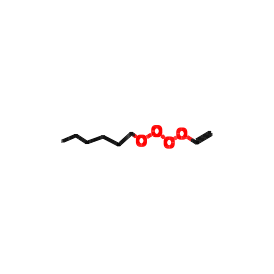 C=COOOOCCCCCC